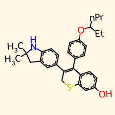 CCCC(CC)Oc1ccc(C2=C(c3ccc4c(c3)CC(C)(C)N4)CSc3cc(O)ccc32)cc1